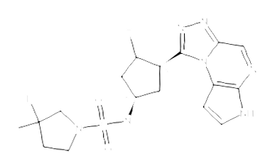 CCC1C[C@H](NS(=O)(=O)N2CCC(F)(F)C2)C[C@@H]1c1nnc2cnc3[nH]ccc3n12